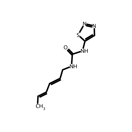 CC=CC=CCNC(=O)Nc1cnns1